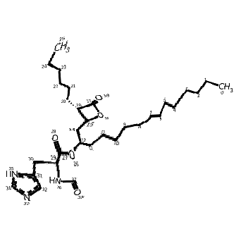 CCCCCCCCCCCCCC(CC1OC(=O)[C@H]1CCCCCC)OC(=O)[C@H](Cc1cnc[nH]1)NC=O